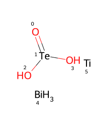 O=[Te](O)O.[BiH3].[Ti]